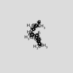 CCc1c(-c2cc(Nc3ccc(N4C[C@@H](C)N(C5COC5)C[C@@H]4C)cn3)c(=O)n(C)c2)cc(F)cc1N1CCn2c(cc3c2CC(C)(C)C3)C1=O